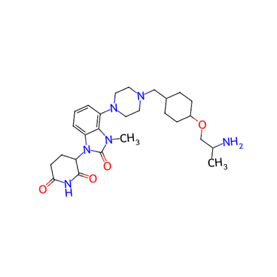 CC(N)COC1CCC(CN2CCN(c3cccc4c3n(C)c(=O)n4C3CCC(=O)NC3=O)CC2)CC1